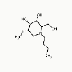 CCCCN1C[C@H](SC)[C@@H](O)[C@H](O)C1CO